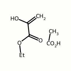 C=C(O)C(=O)OCC.CC(=O)O